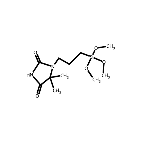 CO[Si](CCCN1C(=O)NC(=O)C1(C)C)(OC)OC